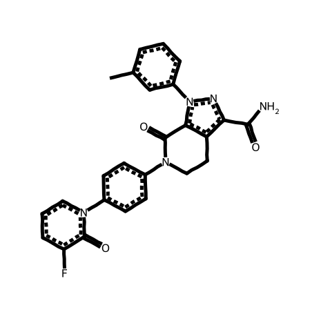 Cc1cccc(-n2nc(C(N)=O)c3c2C(=O)N(c2ccc(-n4cccc(F)c4=O)cc2)CC3)c1